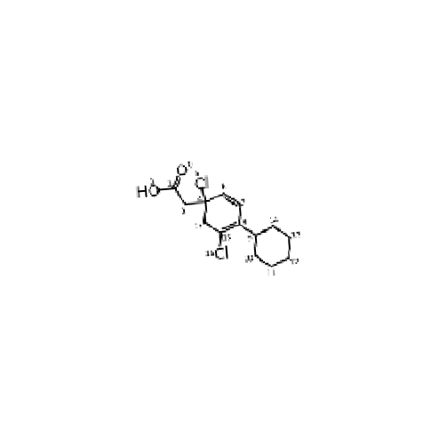 O=C(O)CC1(Cl)C=CC(C2CCCCC2)=C(Cl)C1